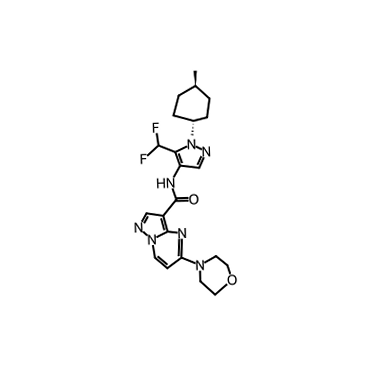 C[C@H]1CC[C@H](n2ncc(NC(=O)c3cnn4ccc(N5CCOCC5)nc34)c2C(F)F)CC1